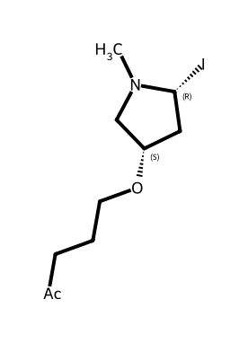 CC(=O)CCCO[C@H]1C[C@@H](I)N(C)C1